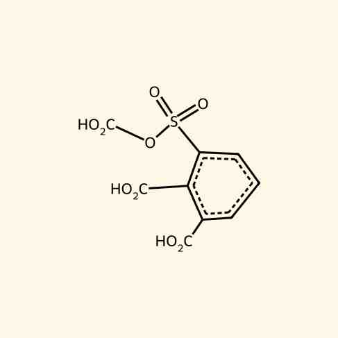 O=C(O)OS(=O)(=O)c1cccc(C(=O)O)c1C(=O)O